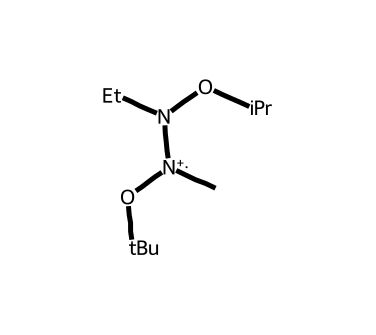 CCN(OC(C)C)[N+](C)OC(C)(C)C